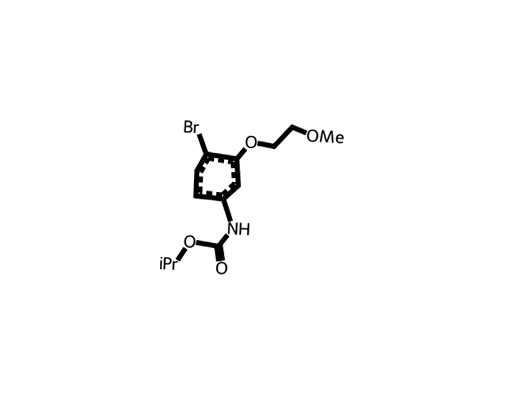 COCCOc1cc(NC(=O)OC(C)C)ccc1Br